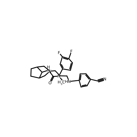 CN(C(=O)NC1C2CCC1CN(CCCNc1ccc(C#N)cc1)C2)c1ccc(F)c(F)c1